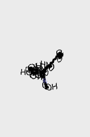 CC(O)OC/C=C/c1ccc(O[C@@H]2O[C@H](C(=O)O)[C@@H](O)[C@H](O)[C@H]2O)c(NC(=O)CCNC(=O)CCCCCN2C(=O)C=CC2=O)c1